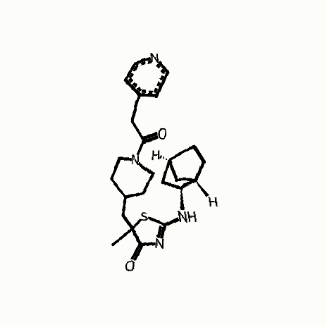 CC1(CC2CCN(C(=O)Cc3ccncc3)CC2)SC(N[C@H]2C[C@H]3CC[C@H]2C3)=NC1=O